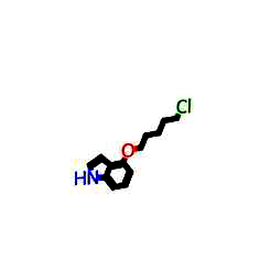 ClCCCCCOc1cccc2[nH]ccc12